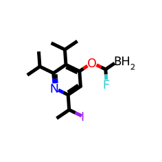 BC(F)Oc1cc(C(C)I)nc(C(C)C)c1C(C)C